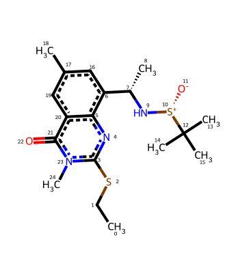 CCSc1nc2c([C@H](C)N[S@+]([O-])C(C)(C)C)cc(C)cc2c(=O)n1C